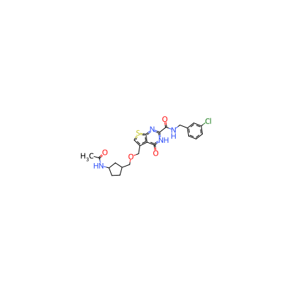 CC(=O)NC1CCC(COCc2csc3nc(C(=O)NCc4cccc(Cl)c4)[nH]c(=O)c23)C1